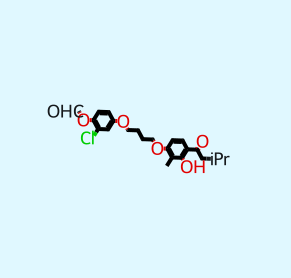 Cc1c(OCCCCOc2ccc(OC=O)c(Cl)c2)ccc(C(=O)CC(C)C)c1O